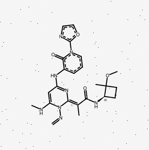 C=NN1C(NC)=CC(Nc2cccn(-c3ncco3)c2=O)=N/C1=C(/C)C(=O)N[C@@H]1CCC1(C)OC